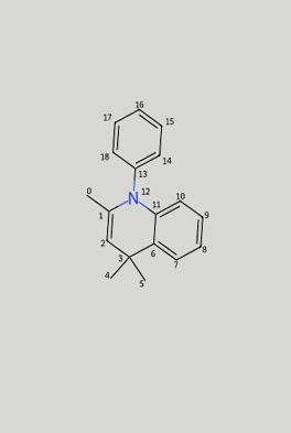 CC1=CC(C)(C)c2ccccc2N1c1ccccc1